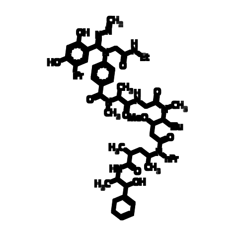 C=N/N=C(/c1cc(C(C)C)c(O)cc1O)N(CC(=O)NCC)c1ccc(C(=O)N(C)C(C)C(=O)NCC(=O)N(C)C(C(C)CC)C(CC(=O)N(CCC)C(C)CC(C)C(=O)NC(C)C(O)C2=CC=CCC2)OC)cc1